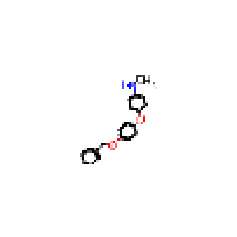 CNc1ccc(Oc2ccc(OCc3ccccc3)cc2)cc1